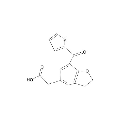 O=C(O)Cc1cc2c(c(C(=O)c3cccs3)c1)OCC2